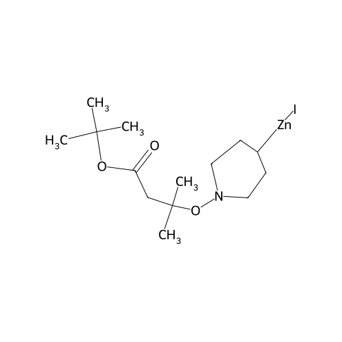 CC(C)(C)OC(=O)CC(C)(C)ON1CC[CH]([Zn][I])CC1